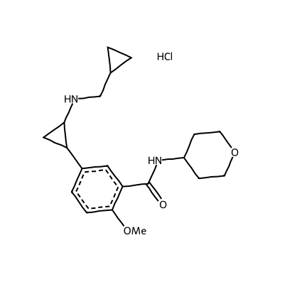 COc1ccc(C2CC2NCC2CC2)cc1C(=O)NC1CCOCC1.Cl